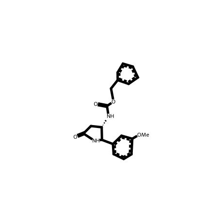 COc1cccc(C2NC(=O)C[C@@H]2NC(=O)OCc2ccccc2)c1